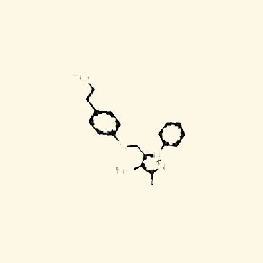 Cc1nn(-c2ccccc2)c(CSc2ccc(CCO)cc2)c1C#N